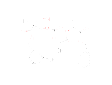 CC(OC(=O)OCC(C)(CO)C(=O)OCc1cccc(C(F)(F)F)c1)C(=O)OC(C)C(=O)OCc1ccccc1